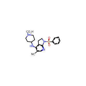 N#Cc1cnc2c(c1NC1CCN(C(=O)O)CC1)CCN2S(=O)(=O)c1ccccc1